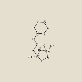 C1CN(CC2C[C@H]3CC[C@@H](C2)N3)CCO1